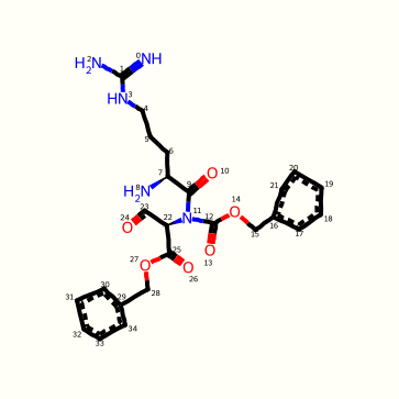 N=C(N)NCCC[C@H](N)C(=O)N(C(=O)OCc1ccccc1)[C@H]([C]=O)C(=O)OCc1ccccc1